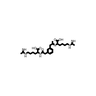 CC(=N)NCCCCC(N=C(C)Cc1cccc(CC(=O)NC(CCCCNC(C)=N)C(=O)O)c1)C(=O)O